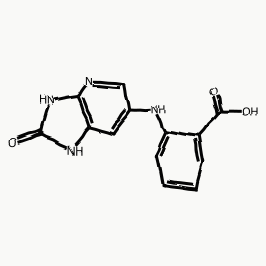 O=C(O)c1ccccc1Nc1cnc2[nH]c(=O)[nH]c2c1